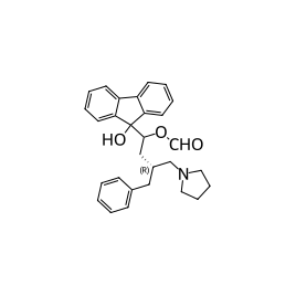 O=COC(C[C@@H](Cc1ccccc1)CN1CCCC1)C1(O)c2ccccc2-c2ccccc21